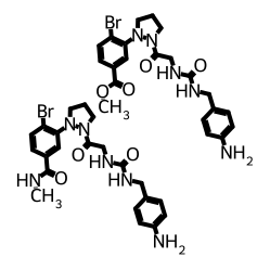 CNC(=O)c1ccc(Br)c(N2CCCN2C(=O)CNC(=O)NCc2ccc(N)cc2)c1.COC(=O)c1ccc(Br)c(N2CCCN2C(=O)CNC(=O)NCc2ccc(N)cc2)c1